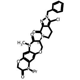 CC(C)N1C(=O)COc2cc3c(cc21)OC[C@H](N1CCc2c(nn(Cc4ccccc4)c2Cl)C1=O)C(=O)N3C